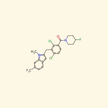 Cn1c(Cc2c(Cl)ccc(C(=O)N3CCC(F)CC3)c2Cl)cc2ccc(C(F)(F)F)cc21